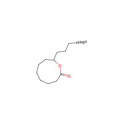 CCCCCCCCCCC1CCCCCCC(=O)O1